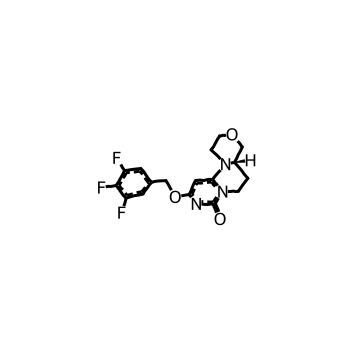 O=c1nc(OCc2cc(F)c(F)c(F)c2)cc2n1CC[C@H]1COCCN21